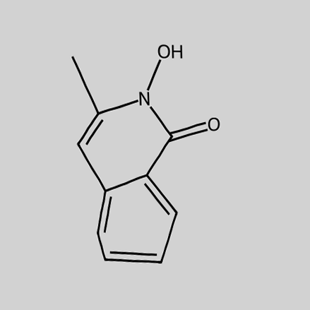 Cc1cc2ccccc2c(=O)n1O